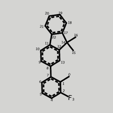 Cc1c(F)cccc1-c1ccc2c(c1)C(C)(C)c1ccccc1-2